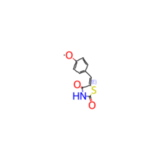 [O]c1ccc(/C=C2/SC(=O)NC2=O)cc1